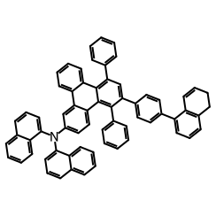 C1=Cc2c(cccc2-c2ccc(-c3cc(-c4ccccc4)c4c5ccccc5c5cc(N(c6cccc7ccccc67)c6cccc7ccccc67)ccc5c4c3-c3ccccc3)cc2)CC1